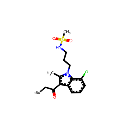 Cc1c(C(=O)CC(C)(C)C)c2cccc(Cl)c2n1CCCNS(C)(=O)=O